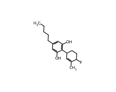 CCCCCc1cc(O)c(C2C=C(C)C(F)CC2)c(O)c1